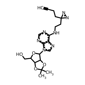 C#CCCC1(CCNc2ncnc3c2ncn3C2OC(CO)C3OC(C)(C)OC32)N=N1